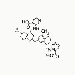 Cc1cc(CC2Cc3ccc(C4CC4)cc3C(CNc3cnccc3C(=O)O)C2)cc2c1CCCC2CNc1cnccc1C(=O)O